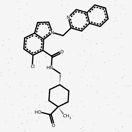 C[C@]1(C(=O)O)CC[C@H](CNC(=O)c2c(Cl)ccc3ccn(Cc4cc5ccccc5cn4)c23)CC1